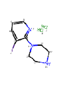 Cl.Cl.Ic1cccnc1N1CCNCC1